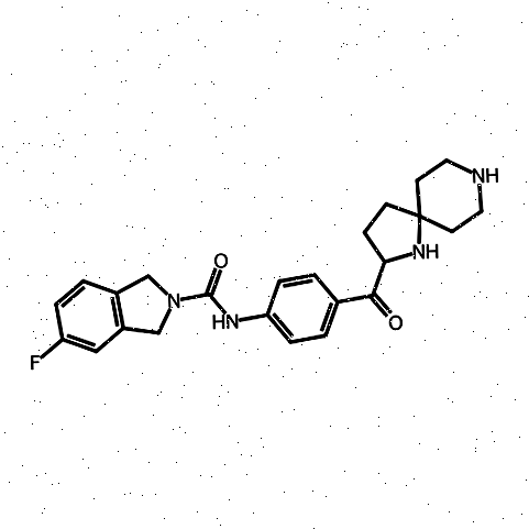 O=C(c1ccc(NC(=O)N2Cc3ccc(F)cc3C2)cc1)C1CCC2(CCNCC2)N1